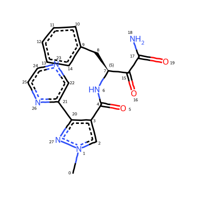 Cn1cc(C(=O)N[C@@H](Cc2ccccc2)C(=O)C(N)=O)c(-c2cnccn2)n1